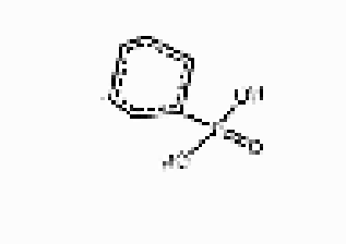 O=P(O)(O)c1c[c]ccc1